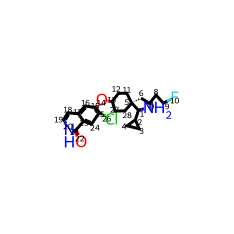 NC(C1CC1)[C@]1(CCCCF)CC[C@H](Oc2cc3cc[nH]c(=O)c3cc2Cl)CC1